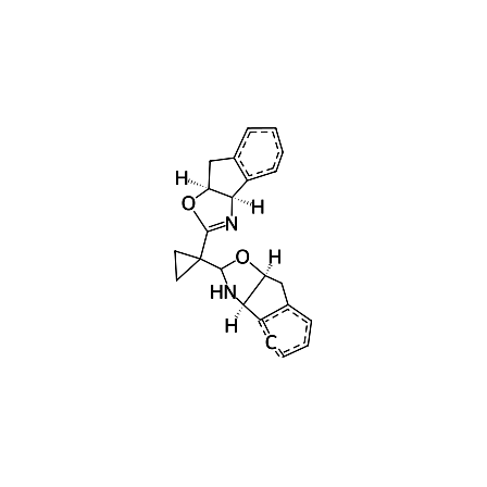 c1ccc2c(c1)C[C@@H]1OC(C3(C4N[C@@H]5c6ccccc6C[C@@H]5O4)CC3)=N[C@H]21